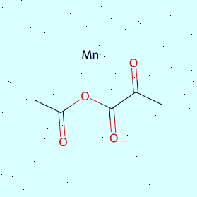 CC(=O)OC(=O)C(C)=O.[Mn]